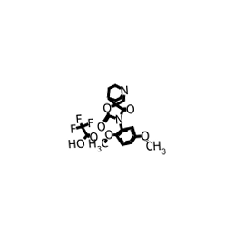 COc1ccc(OC)c(N2C(=O)OC3(CN4CCC3CC4)C2=O)c1.O=C(O)C(F)(F)F